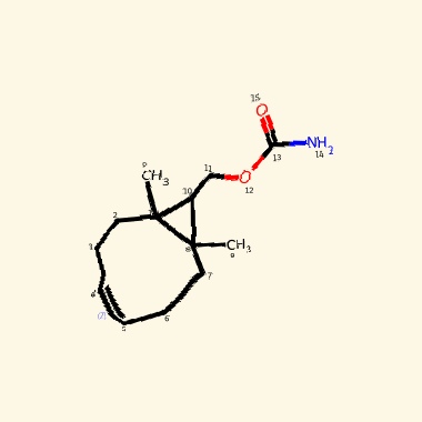 CC12CC/C=C\CCC1(C)C2COC(N)=O